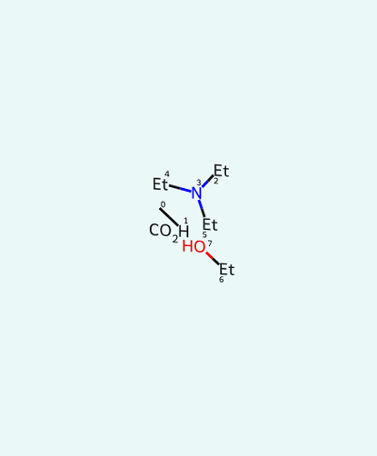 CC(=O)O.CCN(CC)CC.CCO